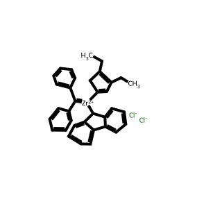 CCC1=C(CC)C[C]([Zr+2](=[C](c2ccccc2)c2ccccc2)[CH]2c3ccccc3-c3ccccc32)=C1.[Cl-].[Cl-]